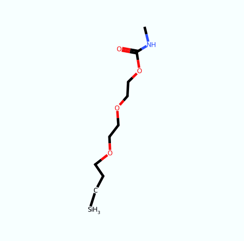 CNC(=O)OCCOCCOCCC[SiH3]